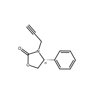 C#CCN1C(=O)OC[C@H]1c1ccccc1